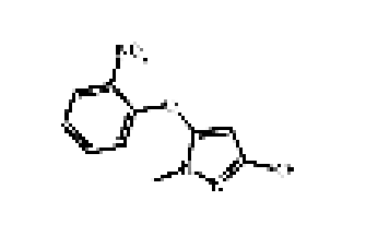 Cn1nc(C(F)(F)F)cc1Oc1ccccc1[N+](=O)[O-]